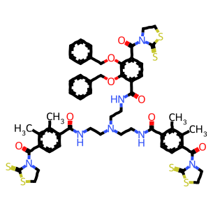 Cc1c(C(=O)NCCN(CCNC(=O)c2ccc(C(=O)N3CCSC3=S)c(C)c2C)CCNC(=O)c2ccc(C(=O)N3CCSC3=S)c(OCc3ccccc3)c2OCc2ccccc2)ccc(C(=O)N2CCSC2=S)c1C